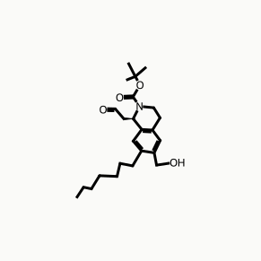 CCCCCCCc1cc2c(cc1CO)CCN(C(=O)OC(C)(C)C)[C@@H]2CC=O